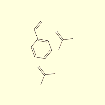 C=C(C)C.C=C(C)C.C=Cc1ccccc1